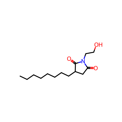 CCCCCCCCC1CC(=O)N(CCO)C1=O